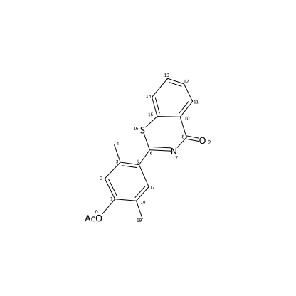 CC(=O)Oc1cc(C)c(-c2nc(=O)c3ccccc3s2)cc1C